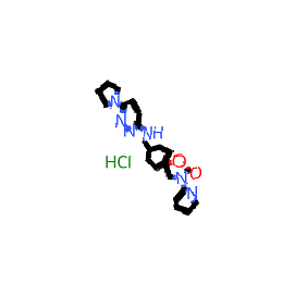 Cl.O=C1OC2(CCC(CNc3ccc(N4CCCC4)nn3)CC2)CN1c1ccccn1